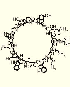 CCCC[C@H]1C(=O)N(C)[C@@H](CCCC)C(=O)N[C@@H](CCCNC(=N)N)C(=O)N[C@H](C(O)NCC(N)=O)CSCC(=O)N[C@@H](Cc2ccc(O)cc2)C(=O)N2CCCC[C@H]2C(=O)N[C@@H](CC(=O)O)C(=O)N2CCC[C@H]2C(=O)N[C@@H](Cc2c[nH]cn2)C(=O)N[C@@H](CCCN)C(=O)N2C[C@H](O)C[C@H]2C(=O)N[C@@H](Cc2c[nH]c3ccccc23)C(=O)N[C@@H](CO)C(=O)CN[C@@H](Cc2c[nH]c3ccccc23)C(=O)N1C